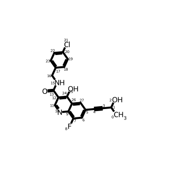 CC(O)C#Cc1cc(F)c2ncc(C(=O)NCc3ccc(Cl)cc3)c(O)c2c1